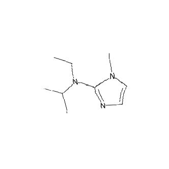 CCN(c1nccn1C)C(C)C